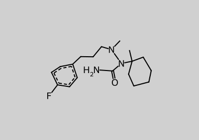 CN(CCCc1ccc(F)cc1)N(C(N)=O)C1(C)CCCCC1